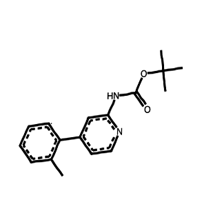 Cc1ccc[c]c1-c1ccnc(NC(=O)OC(C)(C)C)c1